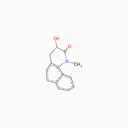 CN1C(=O)C(O)Cc2ccc3ccccc3c21